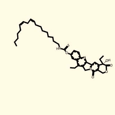 CCCCC/C=C\C/C=C\CCCCCCCCNC(=S)Oc1ccc2nc3c(c(CC)c2c1)Cn1c-3cc2c(c1=O)COC(=O)[C@]2(O)CC